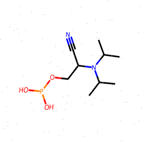 CC(C)N(C(C)C)C(C#N)COP(O)O